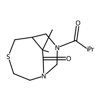 CC(C)C(=O)N1CC2CSCCN(C1)C(=O)C2(C)C